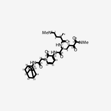 CNCC[C@@H](C)C(=O)N[C@@H](CCC(=O)C(=O)NC)C(=O)Nc1cccn(CC(=O)NC2C3CC4CC(C3)CC2C4)c1=O